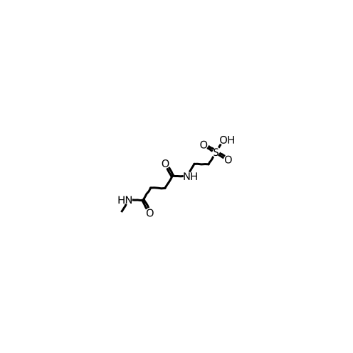 CNC(=O)CCC(=O)NCCS(=O)(=O)O